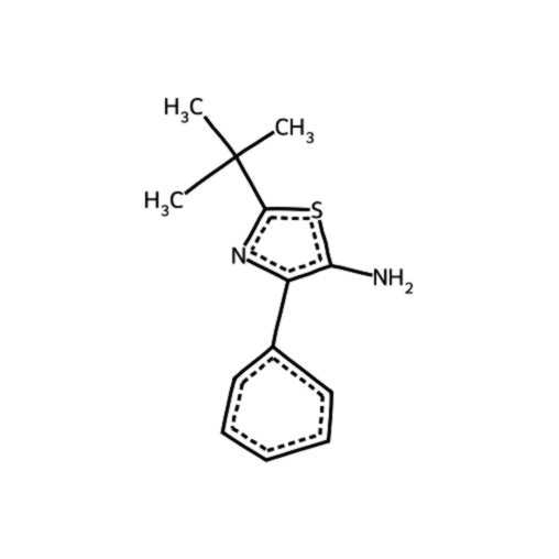 CC(C)(C)c1nc(-c2ccccc2)c(N)s1